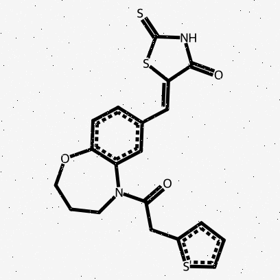 O=C1NC(=S)S/C1=C\c1ccc2c(c1)N(C(=O)Cc1cccs1)CCCO2